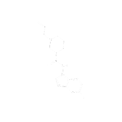 C=CCN1CCCC(C(=O)Nn2ccc3cc(Cl)ccc32)C1